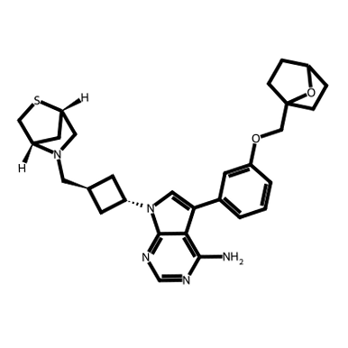 Nc1ncnc2c1c(-c1cccc(OCC34CCC(CC3)O4)c1)cn2[C@H]1C[C@H](CN2C[C@@H]3C[C@H]2CS3)C1